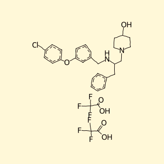 O=C(O)C(F)(F)F.O=C(O)C(F)(F)F.OC1CCN(CC(Cc2ccccc2)NCc2cccc(Oc3ccc(Cl)cc3)c2)CC1